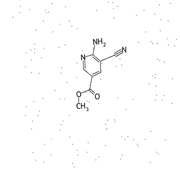 COC(=O)c1cnc(N)c(C#N)c1